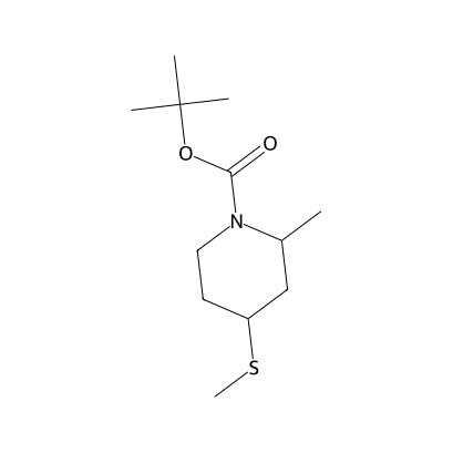 CSC1CCN(C(=O)OC(C)(C)C)C(C)C1